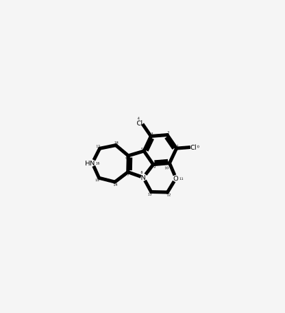 Clc1cc(Cl)c2c3c(n4c2c1OCC4)CCNCC3